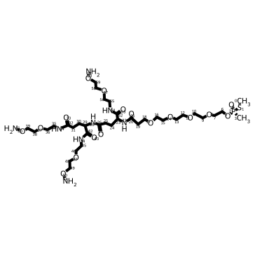 CSP(C)(=O)OCCOCCOCCOCCOCCC(=O)NC(CCC(=O)NC(CCC(=O)NCCOCCON)C(=O)NCCOCCON)C(=O)NCCOCCON